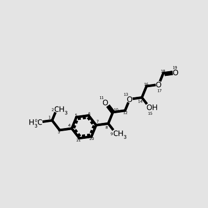 CC(C)Cc1ccc(C(C)C(=O)COC(O)COC=O)cc1